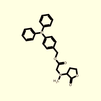 CN(CC(=O)OCc1ccc([S+](c2ccccc2)c2ccccc2)cc1)C1CCOC1=O